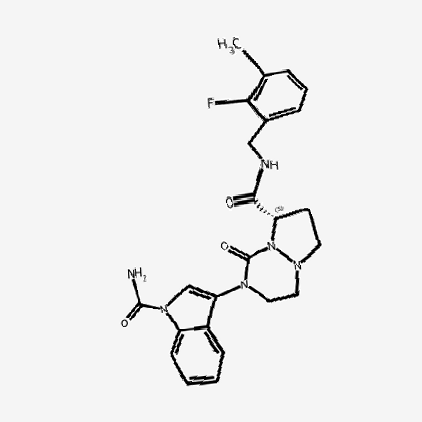 Cc1cccc(CNC(=O)[C@@H]2CCN3CCN(c4cn(C(N)=O)c5ccccc45)C(=O)N23)c1F